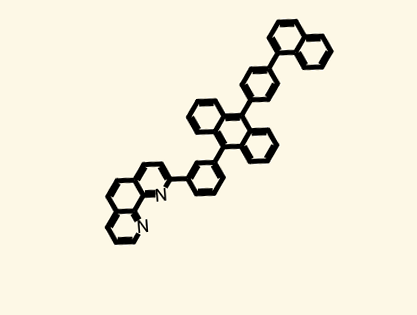 c1cc(-c2ccc3ccc4cccnc4c3n2)cc(-c2c3ccccc3c(-c3ccc(-c4cccc5ccccc45)cc3)c3ccccc23)c1